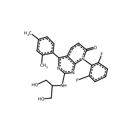 Cc1ccc(-c2nc(NC(CO)CO)nc3c2ccc(=O)n3-c2c(F)cccc2F)c(C)c1